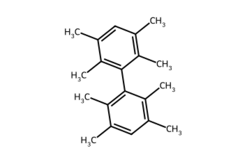 Cc1cc(C)c(C)c(-c2c(C)c(C)cc(C)c2C)c1C